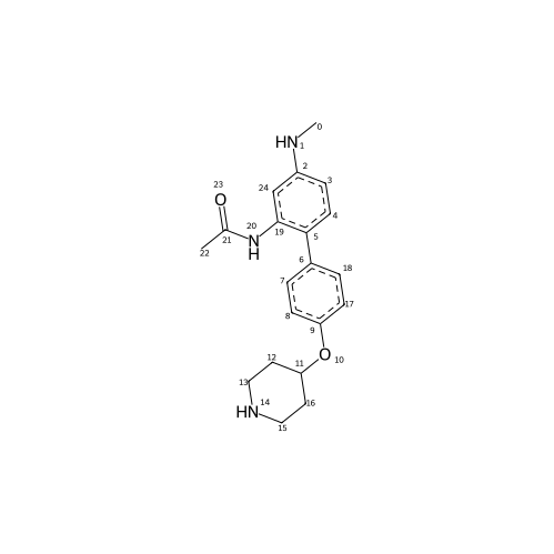 CNc1ccc(-c2ccc(OC3CCNCC3)cc2)c(NC(C)=O)c1